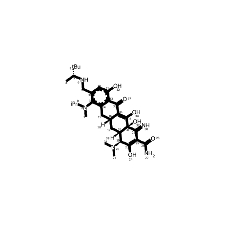 CC(C)N(C)c1c(CN[C@H](C)C(C)(C)C)cc(O)c2c1C[C@H]1C[C@H]3[C@H](N(C)C)C(O)=C(C(N)=O)C(=N)[C@@]3(O)C(O)=C1C2=O